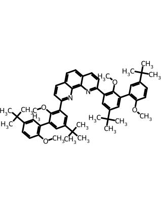 COc1ccc(C(C)(C)C)cc1-c1cc(C(C)(C)C)cc(-c2ccc3ccc4ccc(-c5cc(C(C)(C)C)cc(-c6cc(C(C)(C)C)ccc6OC)c5OC)nc4c3n2)c1OC